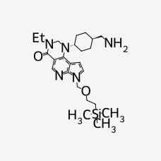 CCN1CN([C@H]2CC[C@H](CN)CC2)c2c(cnc3c2ccn3COCC[Si](C)(C)C)C1=O